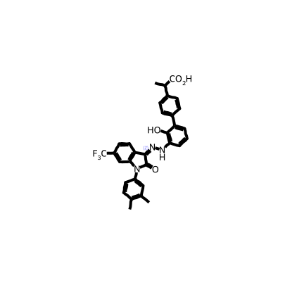 Cc1ccc(N2C(=O)/C(=N\Nc3cccc(-c4ccc(C(C)C(=O)O)cc4)c3O)c3ccc(C(F)(F)F)cc32)cc1C